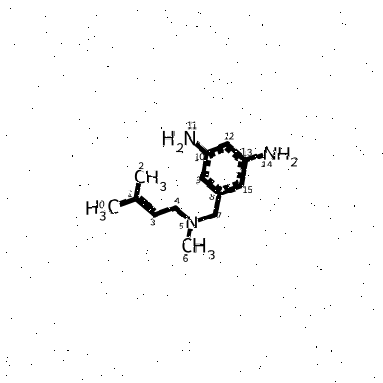 CC(C)=CCN(C)Cc1cc(N)cc(N)c1